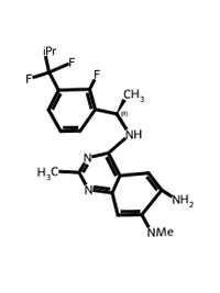 CNc1cc2nc(C)nc(N[C@H](C)c3cccc(C(F)(F)C(C)C)c3F)c2cc1N